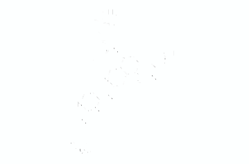 C=CC(=O)N1CCCCC[C@H]1c1ccc(N2C[C@H](CS(C)(=O)=O)[C@H]2C)c2cnc(Nc3ccnc(N4CC[C@@H](OC)[C@@H](F)C4)n3)cc12